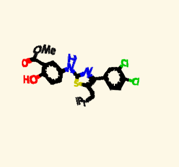 COC(=O)c1cc(Nc2nc(-c3ccc(Cl)c(Cl)c3)c(CC(C)C)s2)ccc1O